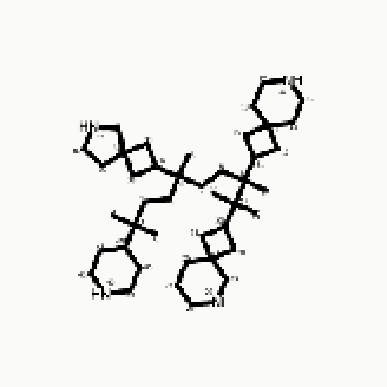 CC(C)(CCC(C)(CCC(C)(C1CC2(CCNCC2)C1)C(C)(C)C1CC2(CCCNC2)C1)C1CC2(CCNC2)C1)C1CCNCC1